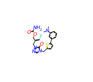 CN(C)c1cccc(-c2ccc(Cn3cnn(CC(=CF)COC(N)=O)c3=O)s2)c1